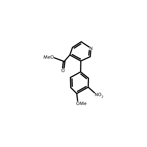 COC(=O)c1ccncc1-c1ccc(OC)c([N+](=O)[O-])c1